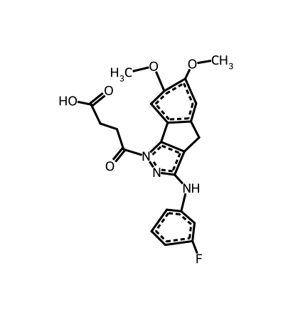 COc1cc2c(cc1OC)-c1c(c(Nc3cccc(F)c3)nn1C(=O)CCC(=O)O)C2